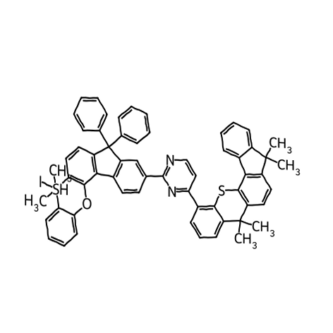 CC1(C)c2cccc(-c3ccnc(-c4ccc5c(c4)C(c4ccccc4)(c4ccccc4)c4ccc6c(c4-5)Oc4ccccc4[SH]6(C)(C)I)n3)c2Sc2c1ccc1c2-c2ccccc2C1(C)C